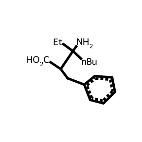 CCCCC(N)(CC)C(Cc1ccccc1)C(=O)O